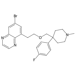 CN1CCC(COCCc2cc(Br)cc3nccnc23)(c2ccc(F)cc2)CC1